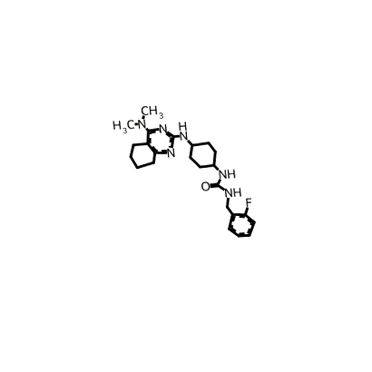 CN(C)c1nc(NC2CCC(NC(=O)NCc3ccccc3F)CC2)nc2c1CCCC2